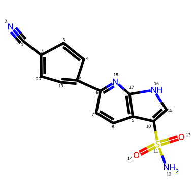 N#Cc1ccc(-c2ccc3c(S(N)(=O)=O)c[nH]c3n2)cc1